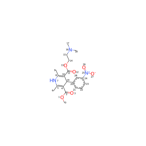 COC(=O)C1=C(C)NC(C)=C(C(=O)OCCN(C)C)C1c1cccc([N+](=O)[O-])c1